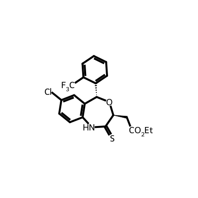 CCOC(=O)C[C@@H]1O[C@@H](c2ccccc2C(F)(F)F)c2cc(Cl)ccc2NC1=S